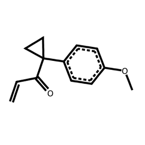 C=CC(=O)C1(c2ccc(OC)cc2)CC1